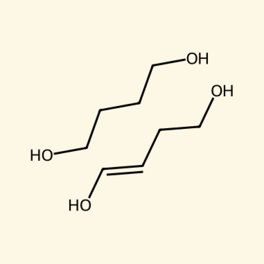 O/C=C/CCO.OCCCCO